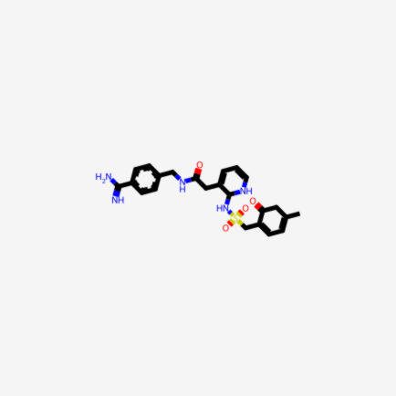 CC1=CC=C(CS(=O)(=O)NC2NC=CC=C2CC(=O)NCc2ccc(C(=N)N)cc2)C(=O)C1